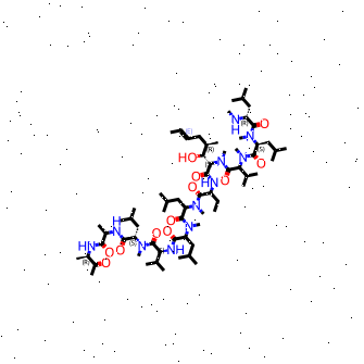 C/C=C/C[C@@H](C)C(O)[C@@H](C(=O)NC(CC)C(=O)N(C)C(CC(C)C)C(=O)N(C)C(CC(C)C)C(=O)N[C@H](C(=O)N(C)[C@@H](CC(C)C)C(=O)NC(C)C(=O)N[C@H](C)C(C)=O)C(C)C)N(C)C(=O)C(C(C)C)N(C)C(=O)[C@H](CC(C)C)N(C)C(=O)[C@@H](CC(C)C)NC